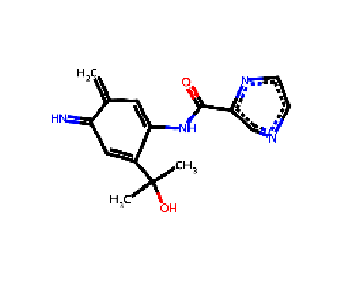 C=C1C=C(NC(=O)c2cnccn2)C(C(C)(C)O)=CC1=N